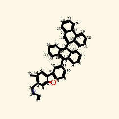 C=C/C=C\c1cc2oc3ccc(-c4c5ccccc5c(-c5cc6ccccc6c6ccccc56)c5ccccc45)cc3c2cc1C